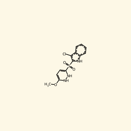 COC1=CC=C(S(=O)(=O)c2[nH]c3ccccc3c2Cl)NN1